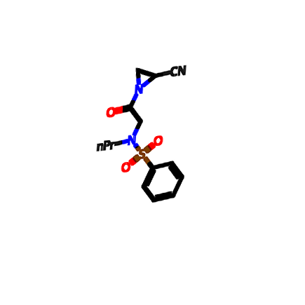 CCCN(CC(=O)N1CC1C#N)S(=O)(=O)c1ccccc1